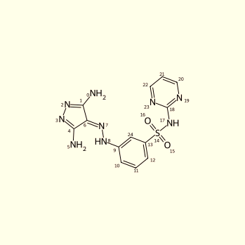 NC1=NN=C(N)C1=NNc1cccc(S(=O)(=O)Nc2ncccn2)c1